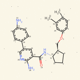 Cc1ccc(OC[C@H]2CCC[C@@H]2NC(=O)c2cc(-c3ccc(N)cc3)cnc2N)cc1C